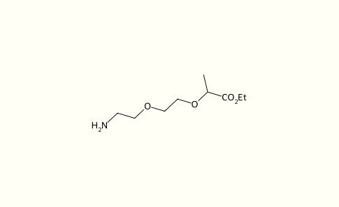 CCOC(=O)C(C)OCCOCCN